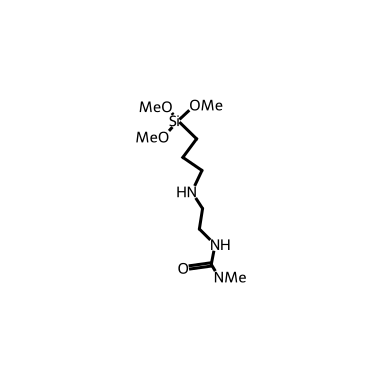 CNC(=O)NCCNCCC[Si](OC)(OC)OC